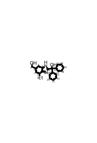 CCc1cc(CO)cc2[nH]c(C(O)(c3ccccc3)c3ccccc3)nc12